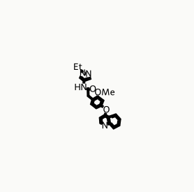 CCn1cc(NC(=O)Cc2ccc(Oc3ccnc4ccccc34)cc2OC)cn1